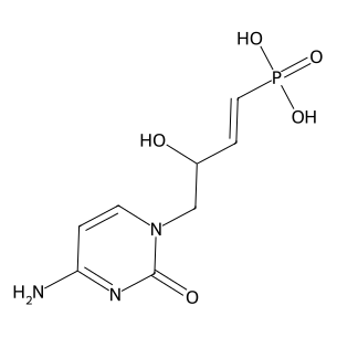 Nc1ccn(CC(O)/C=C/P(=O)(O)O)c(=O)n1